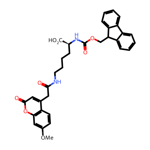 COc1ccc2c(CC(=O)NCCCC[C@H](NC(=O)OCC3c4ccccc4-c4ccccc43)C(=O)O)cc(=O)oc2c1